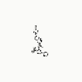 O=C(Nc1cc(-c2ccccc2)ccc1[N+](=O)[O-])c1cnc2cc(N3CCNCC3)ccc2c1